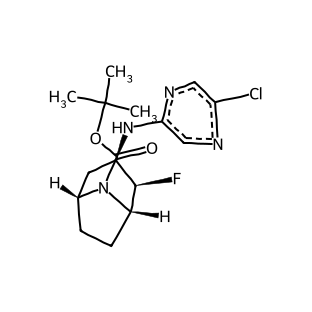 CC(C)(C)OC(=O)N1[C@@H]2CC[C@H]1[C@H](F)[C@H](Nc1cnc(Cl)cn1)C2